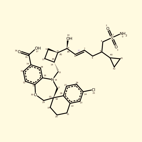 NS(=O)(=O)CC(C/C=C/[C@H](O)[C@@H]1CC[C@H]1CN1C[C@@]2(CCCc3cc(Cl)ccc32)COc2ccc(C(=O)O)cc21)C1CC1